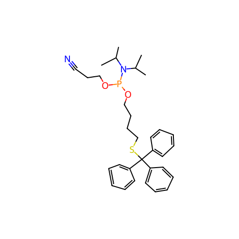 CC(C)N(C(C)C)P(OCCC#N)OCCCCSC(c1ccccc1)(c1ccccc1)c1ccccc1